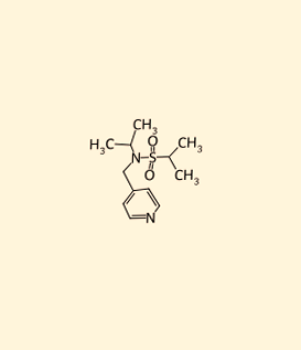 CC(C)N(Cc1ccncc1)S(=O)(=O)C(C)C